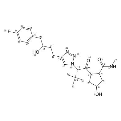 CNC(=O)C1CC(O)CN1C(=O)[C@@H](n1cc(CCC(O)Cc2ccc(F)cc2)nn1)C(C)(C)C